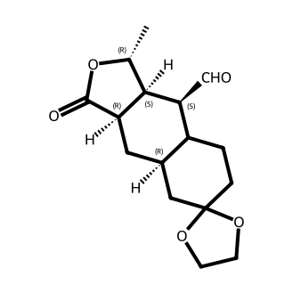 C[C@H]1OC(=O)[C@@H]2C[C@@H]3CC4(CCC3[C@H](C=O)[C@H]12)OCCO4